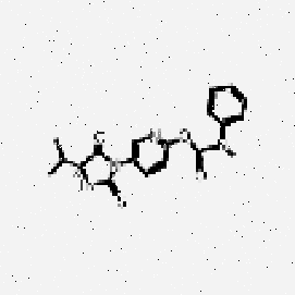 CC(C)[C@@H]1NC(=S)N(c2ccc(OC(=O)N(C)c3ccccc3)nc2)C1=O